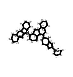 C1CCC(C2CC3CCC(C4CC5CCCCC5C5CC6C(CCCC6N6C7CCCCC7C7CC8CCCCC8CC76)C45)CC3C2)CC1